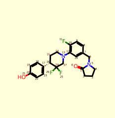 O=C1CCCN1Cc1ccc(F)c(N2CC[C@@H](c3ccc(O)cc3)C(F)(F)C2)c1